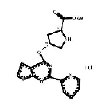 COC(=O)[C@@H]1C[C@@H](Oc2nc(-c3ccccn3)nc3sccc23)CN1.Cl